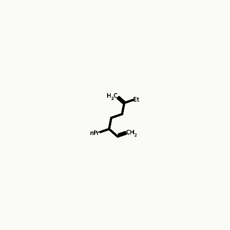 C=CC(CCC)CCC(=C)CC